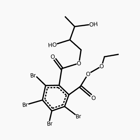 CCOOC(=O)c1c(Br)c(Br)c(Br)c(Br)c1C(=O)OCC(O)C(C)O